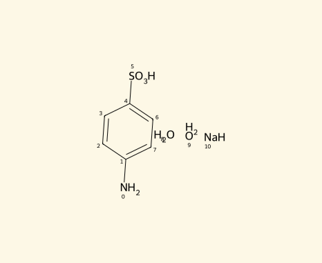 Nc1ccc(S(=O)(=O)O)cc1.O.O.[NaH]